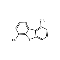 O=[N+]([O-])c1cccc2sc3c(O)ncnc3c12